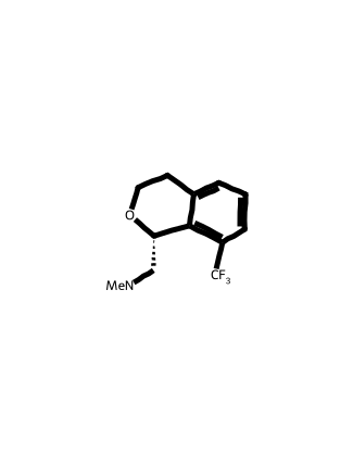 CNC[C@@H]1OCCc2cccc(C(F)(F)F)c21